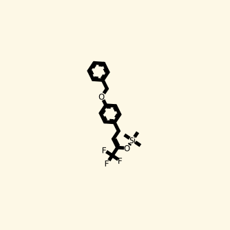 C[Si](C)(C)O/C(=C\Cc1ccc(OCc2ccccc2)cc1)C(F)(F)F